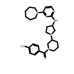 O=C(c1ccc(C(F)(F)F)cc1)N1CCCC(N2CCC(Nc3nccc(N4CCCCCC4)n3)C2)C1